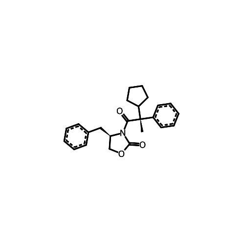 C[C@](C(=O)N1C(=O)OC[C@H]1Cc1ccccc1)(c1ccccc1)C1CCCC1